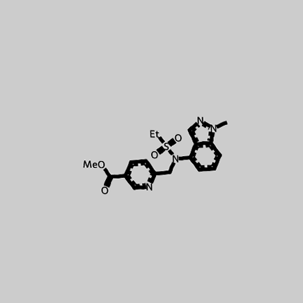 CCS(=O)(=O)N(Cc1ccc(C(=O)OC)cn1)c1cccc2c1cnn2C